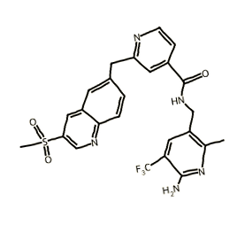 Cc1nc(N)c(C(F)(F)F)cc1CNC(=O)c1ccnc(Cc2ccc3ncc(S(C)(=O)=O)cc3c2)c1